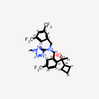 Cn1nnc(N(Cc2cc(C(F)(F)F)cc(C(F)(F)F)c2)Cc2cc(C(F)(F)F)ccc2C(C)(O)C2CCC2)n1